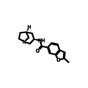 Cc1cc2ccc(C(=O)N[C@@H]3C[C@@H]4CCN(C4)C3)cc2o1